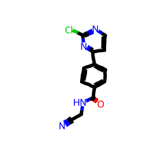 N#CCNC(=O)c1ccc(-c2ccnc(Cl)n2)cc1